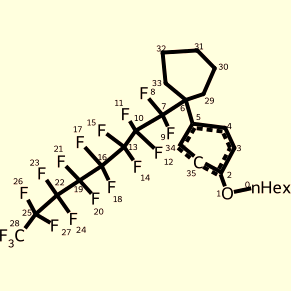 CCCCCCOc1ccc(C2(C(F)(F)C(F)(F)C(F)(F)C(F)(F)C(F)(F)C(F)(F)C(F)(F)C(F)(F)F)CCCCC2)cc1